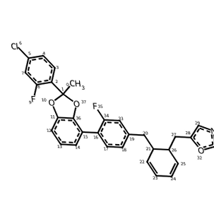 CC1(c2ccc(Cl)cc2F)Oc2cccc(-c3ccc(CC4C=CC=CC4Cc4cnco4)cc3F)c2O1